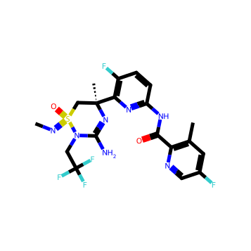 CN=S1(=O)C[C@@](C)(c2nc(NC(=O)c3ncc(F)cc3C)ccc2F)N=C(N)N1CC(F)(F)F